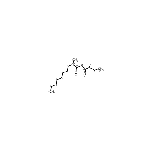 CCCCCCCCN(C)C(=O)CC(=O)OCC